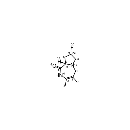 CC1=C(C)NC(=O)[C@@H]2C[C@H](F)CN2C1